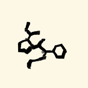 COC(=O)[C@@H]1CCCN1C(=O)[C@@H](NC=O)C1CCCCC1